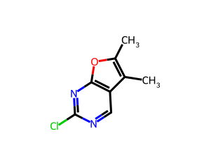 Cc1oc2nc(Cl)ncc2c1C